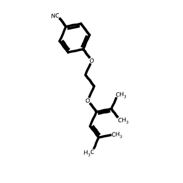 CC(C)=CC(OCCOc1ccc(C#N)cc1)=C(C)C